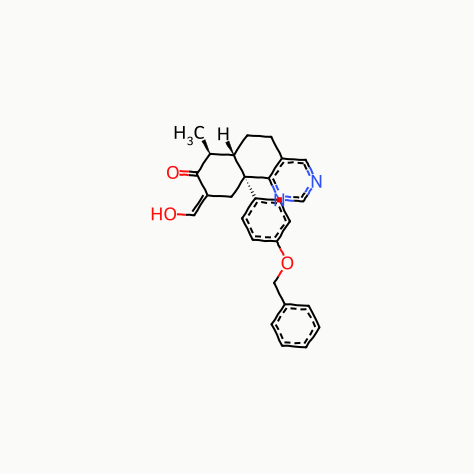 C[C@@H]1C(=O)C(=CO)C[C@]2(c3ccc(OCc4ccccc4)cc3)c3ncncc3CC[C@@H]12